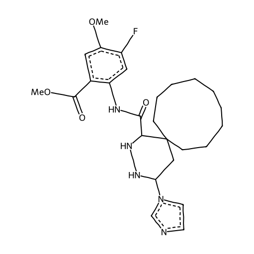 COC(=O)c1cc(OC)c(F)cc1NC(=O)C1NNC(n2ccnc2)CC12CCCCCCCCC2